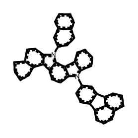 c1ccc2cc(-n3c4ccc5ccccc5c4c4ccc5c(c6ccccc6n5-c5ccc6c(c5)-c5cccc7cccc-6c57)c43)ccc2c1